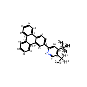 [2H]C([2H])([2H])c1cnc(-c2ccc3c4ccccc4c4ccccc4c3c2)cc1C([2H])([2H])[2H]